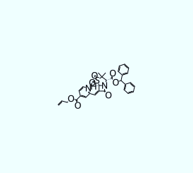 C=CCOC(=O)c1ccnc(/C=C2/C(=O)N3[C@@H](C(=O)OC(c4ccccc4)c4ccccc4)C(C)(C)S(=O)(=O)[C@H]23)c1